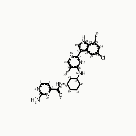 Nc1nccc(C(=O)N[C@@H]2CCC[C@H](Nc3nc(-c4c[nH]c5c(F)cc(Cl)cc45)ncc3F)C2)n1